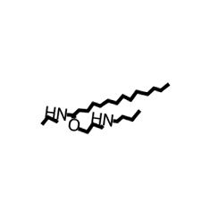 CCCCCCCCCCCCCC(=O)NCCC.CCCCNCCCC